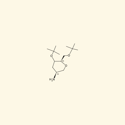 CC(C)(C)OC[C@H]1OC[C@@H](N)CC1OC(C)(C)C